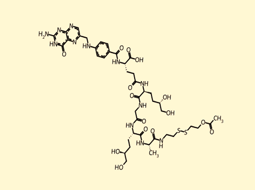 CC(=O)OCCSSCCNC(=O)[C@H](C)NC(=O)[C@H](CC[C@H](O)CO)NC(=O)CNC(=O)[C@H](CC[C@H](O)CO)NC(=O)CC[C@H](NC(=O)c1ccc(NCc2cnc3nc(N)[nH]c(=O)c3n2)cc1)C(=O)O